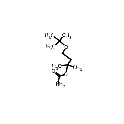 CC(C)(C)OCCC(C)(C)OC(N)=O